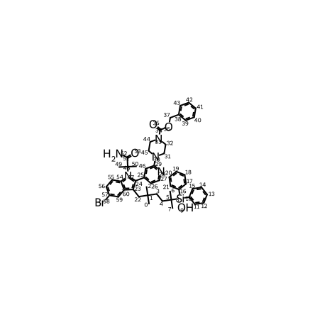 CC(C)(CCC(C)(C)[Si](O)(c1ccccc1)c1ccccc1)Cc1c(-c2ccnc(N3CCN(C(=O)OCc4ccccc4)CC3)c2)n(C(C)(C)C(N)=O)c2ccc(Br)cc12